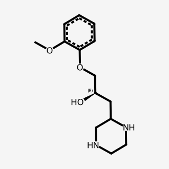 COc1ccccc1OC[C@H](O)CC1CNCCN1